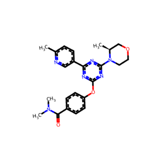 Cc1ccc(-c2nc(Oc3ccc(C(=O)N(C)C)cc3)nc(N3CCOC[C@@H]3C)n2)cn1